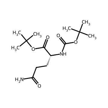 CC(C)(C)OC(=O)N[C@H](CCC(N)=O)C(=O)OC(C)(C)C